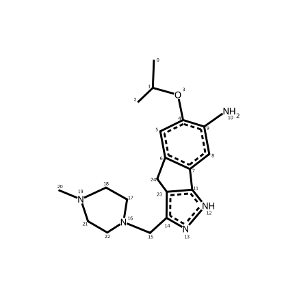 CC(C)Oc1cc2c(cc1N)-c1[nH]nc(CN3CCN(C)CC3)c1C2